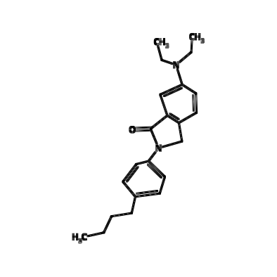 CCCCc1ccc(N2Cc3ccc(N(CC)CC)cc3C2=O)cc1